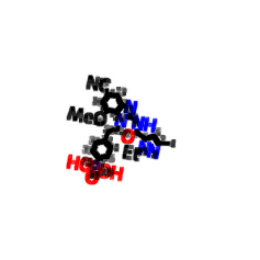 CCn1nc(C)cc1C(=O)Nc1nc2cc(C#N)cc(OC)c2n1CCc1ccc(P(=O)(O)O)cc1